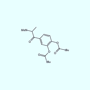 CNC(C)C(=O)c1ccc(OC(=O)C(C)(C)C)c(OC(=O)C(C)(C)C)c1